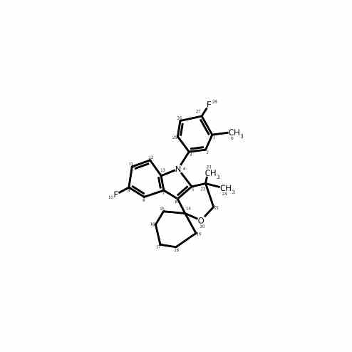 Cc1cc(-n2c3c(c4cc(F)ccc42)C2(CCCCC2)OCC3(C)C)ccc1F